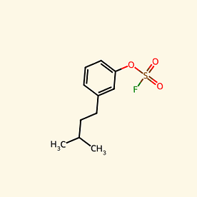 CC(C)CCc1cccc(OS(=O)(=O)F)c1